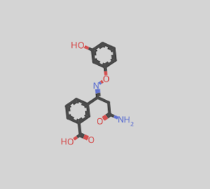 NC(=O)C/C(=N\Oc1cccc(O)c1)c1cccc(C(=O)O)c1